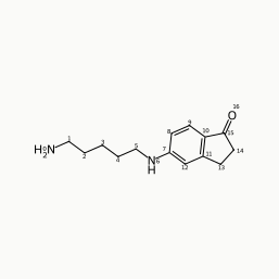 NCCCCCNc1ccc2c(c1)CCC2=O